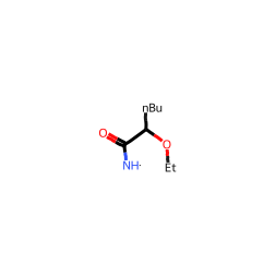 CCCCC(OCC)C([NH])=O